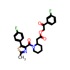 Cc1nc(C(=O)N2CCCCC2CC(=O)OCC(=O)c2cccc(F)c2)c(-c2ccc(F)cc2)s1